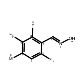 ON=Cc1c(F)cc(Br)c(F)c1F